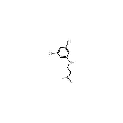 CN(C)CCNc1cc(Cl)cc(Cl)c1